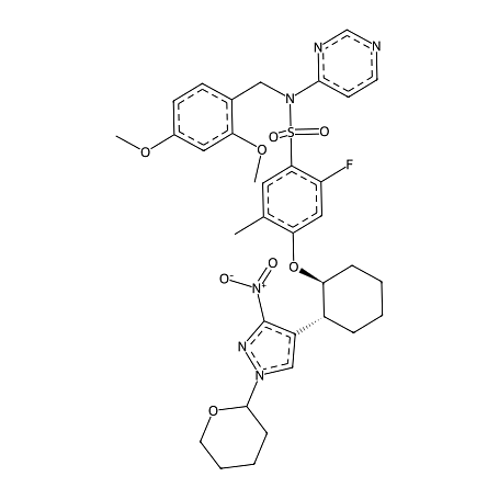 COc1ccc(CN(c2ccncn2)S(=O)(=O)c2cc(C)c(O[C@H]3CCCC[C@@H]3c3cn(C4CCCCO4)nc3[N+](=O)[O-])cc2F)c(OC)c1